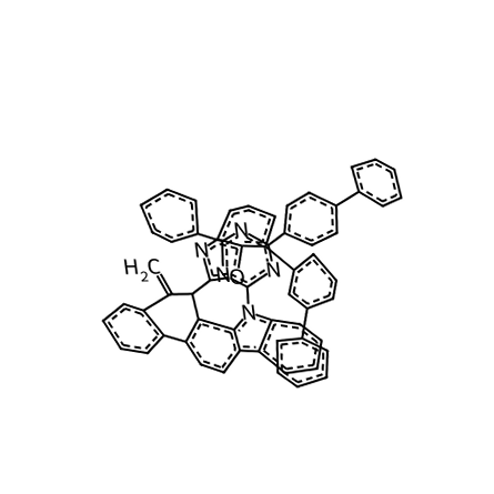 C=C1c2ccccc2-c2ccc3c4ccccc4n(-c4nc(-c5ccccc5)nc(-c5ccc(-c6ccccc6)cc5)n4)c3c2C1c1nc2cccc(-c3cccc(-c4ccccc4)c3)c2o1